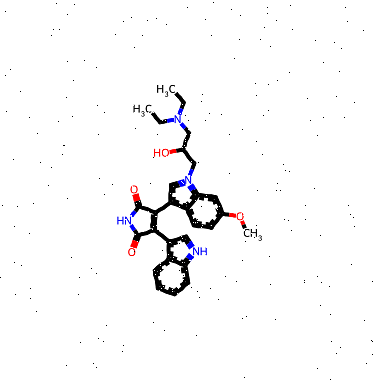 CCN(CC)CC(O)Cn1cc(C2=C(c3c[nH]c4ccccc34)C(=O)NC2=O)c2ccc(OC)cc21